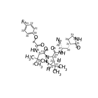 CC(C)(C)[C@H](NC(=O)COc1ccc(F)cc1)C(=O)N1C[C@H]2[C@@H](C1C(=O)N[C@H](C#N)C[C@@H]1CCNC1=O)C2(C)C